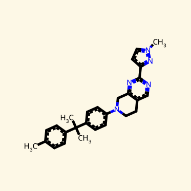 Cc1ccc(C(C)(C)c2ccc(N3CCc4cnc(-c5ccn(C)n5)nc4C3)cc2)cc1